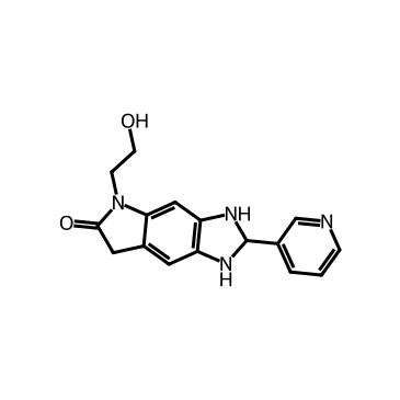 O=C1Cc2cc3c(cc2N1CCO)NC(c1cccnc1)N3